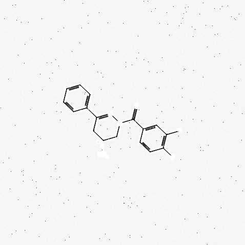 C[C@@H]1CC(c2ccccc2)=NN(C(=S)c2ccc(F)c(F)c2)C1